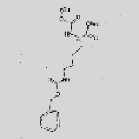 CCCCOC(=O)N[C@@H](CCCCNC(=O)OCc1ccccc1)C(=O)OC